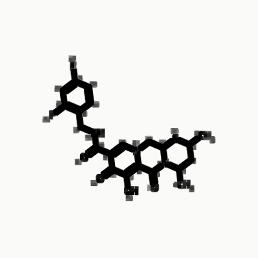 CC1CC(C)N2C(=O)c3c(O)c(=O)c(C(=O)NCc4ccc(F)cc4F)cn3CC2S1